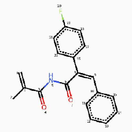 C=C(C)C(=O)NC(=O)/C(=C\c1ccccc1)c1ccc(F)cc1